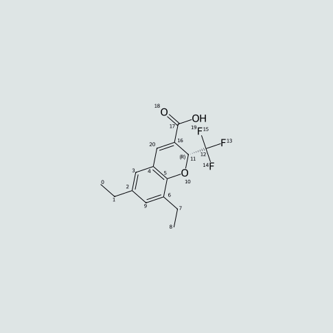 CCc1cc2c(c(CC)c1)O[C@@H](C(F)(F)F)C(C(=O)O)=C2